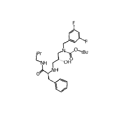 CC(C)CNC(=O)[C@H](Cc1ccccc1)NC[C@@H](O)CN(Cc1cc(F)cc(F)c1)C(=O)OC(C)(C)C